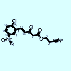 N#CCCOC(=O)CC(=O)C=Cc1cc([N+](=O)[O-])ccc1Cl